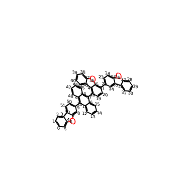 c1ccc2c(c1)oc1cc(-c3c4ccccc4c(-c4ccc(-c5ccc6oc7ccccc7c6c5)c5oc6ccccc6c45)c4ccccc34)ccc12